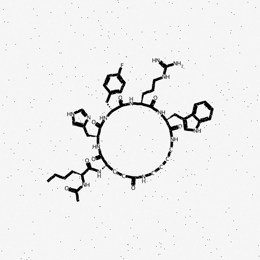 CCCC[C@H](NC(C)=O)C(=O)N[C@H]1CCC(=O)NCCCCNC(=O)[C@H](Cc2c[nH]c3ccccc23)NC(=O)[C@H](CCCNC(=N)N)NC(=O)[C@@H](Cc2ccc(F)cc2)NC(=O)[C@H](Cc2c[nH]cn2)NC1=O